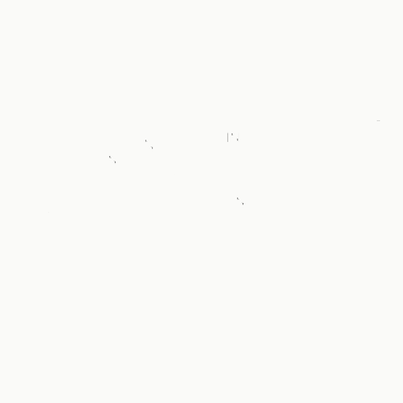 Cc1cc2nc(-c3cc(-c4ccccc4)n[nH]3)[nH]c2cc1Br